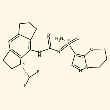 N[S@@](=O)(=NC(=O)Nc1c2c(cc3c1[C@H](C(F)F)CC3)CCC2)c1cnn2c1OCCC2